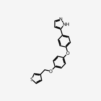 c1cc(-c2ccc(Oc3ccc(OCc4ccsc4)cc3)cc2)[nH]n1